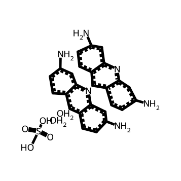 Nc1ccc2cc3ccc(N)cc3nc2c1.Nc1ccc2cc3ccc(N)cc3nc2c1.O.O.O=S(=O)(O)O